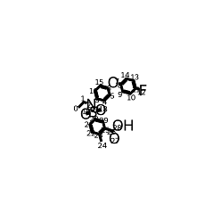 CCN(c1ccc(Oc2ccc(F)cc2)cc1)S(=O)(=O)c1ccc(C)c(C(=O)O)c1